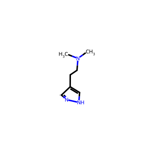 CN(C)CCc1[c]n[nH]c1